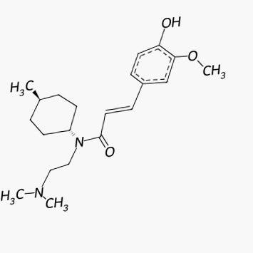 COc1cc(C=CC(=O)N(CCN(C)C)[C@H]2CC[C@H](C)CC2)ccc1O